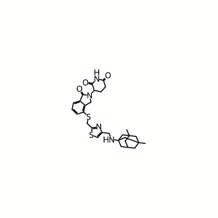 CC12CC3CC(C)(C1)CC(NCc1csc(CSc4cccc5c4CN(C4CCC(=O)NC4=O)C5=O)n1)(C3)C2